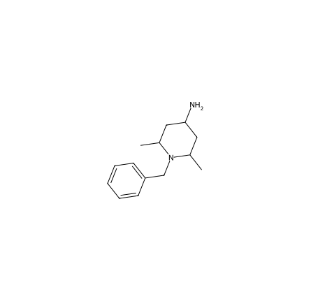 CC1CC(N)CC(C)N1Cc1ccccc1